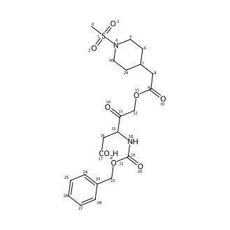 CS(=O)(=O)N1CCC(CC(=O)OCC(=O)C(CC(=O)O)NC(=O)OCc2ccccc2)CC1